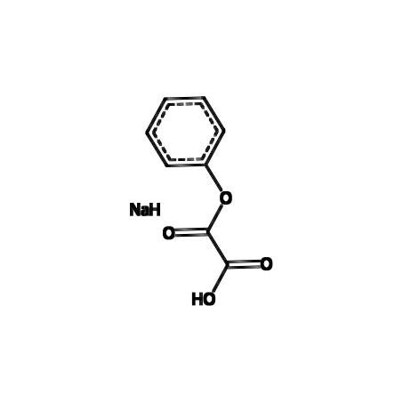 O=C(O)C(=O)Oc1ccccc1.[NaH]